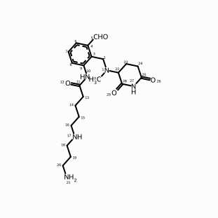 CN(Cc1c(C=O)cccc1NC(=O)CCCCNCCCN)C1CCC(=O)NC1=O